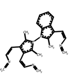 C=N/C=C\c1c(/C=C\N=C)c(C)p(-p2c(C)c(/C=C\N=C)c3ccccc32)c1C